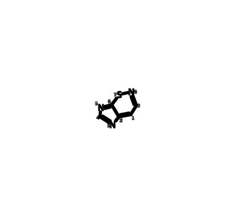 c1cc2ncnc-2sn1